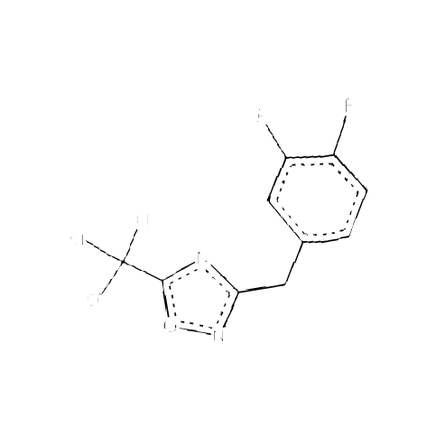 Fc1ccc(Cc2noc(C(Cl)(Cl)Cl)n2)cc1F